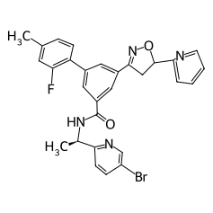 Cc1ccc(-c2cc(C(=O)N[C@H](C)c3ccc(Br)cn3)cc(C3=NOC(c4ccccn4)C3)c2)c(F)c1